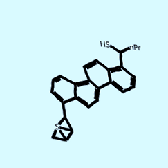 CCCC(S)c1cccc2c1ccc1c3cccc(C4C5C6CS645)c3ccc21